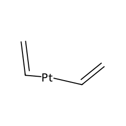 C=[CH][Pt][CH]=C